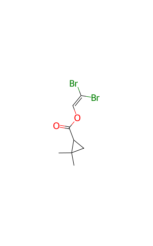 CC1(C)CC1C(=O)OC=C(Br)Br